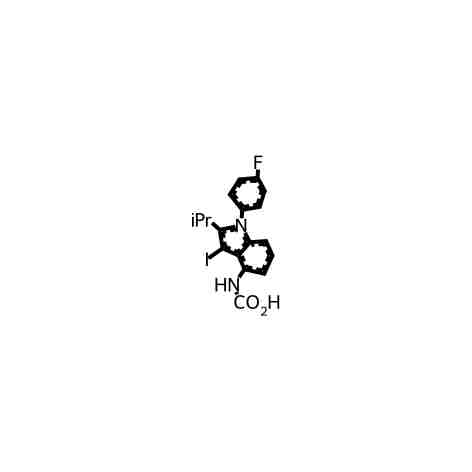 CC(C)c1c(I)c2c(NC(=O)O)cccc2n1-c1ccc(F)cc1